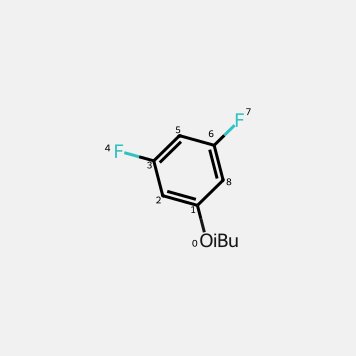 CC(C)COc1cc(F)cc(F)c1